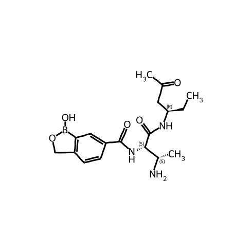 CC[C@H](CC(C)=O)NC(=O)[C@@H](NC(=O)c1ccc2c(c1)B(O)OC2)[C@H](C)N